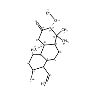 C=CC1C(C(C)=O)CCC2C1CCC1C(C)(C)[C@@H](OCC)C(=O)C[C@]21C